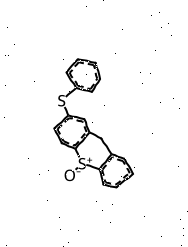 [O-][S+]1c2ccccc2Cc2cc(Sc3ccccc3)ccc21